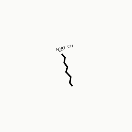 C.CCCCCCCC.Cl.Cl